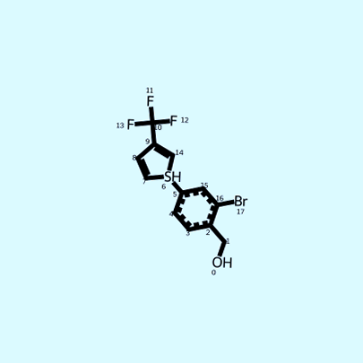 OCc1ccc([SH]2C=CC(C(F)(F)F)=C2)cc1Br